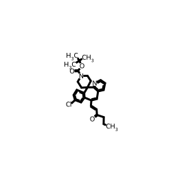 CCCC(=O)/C=C/C1=Cc2cccnc2C2(CCN(C(=O)OC(C)(C)C)CC2)c2ccc(Cl)cc21